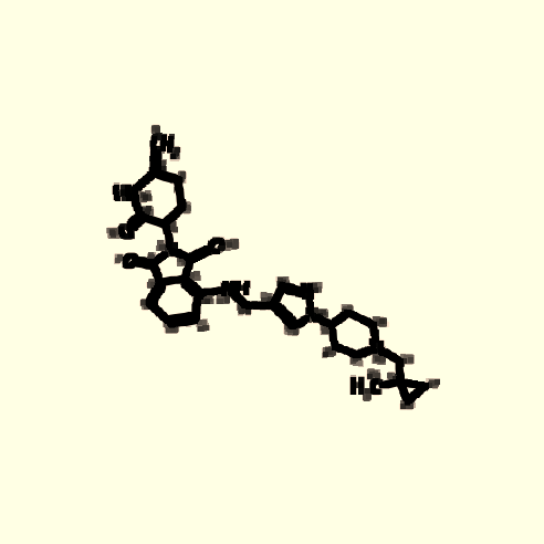 C=C1CCC(N2C(=O)c3cccc(NCc4cnn(C5CCN(CC6(C)CC6)CC5)c4)c3C2=O)C(=O)N1